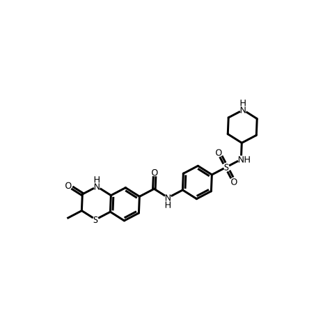 CC1Sc2ccc(C(=O)Nc3ccc(S(=O)(=O)NC4CCNCC4)cc3)cc2NC1=O